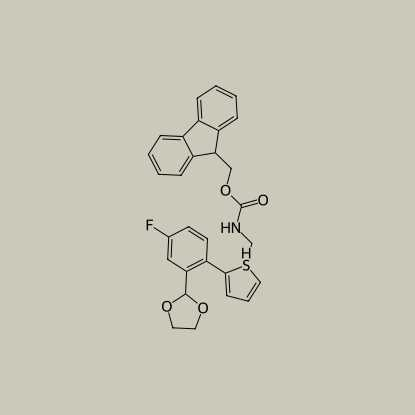 O=C(NC[SH]1C=CC=C1c1ccc(F)cc1C1OCCO1)OCC1c2ccccc2-c2ccccc21